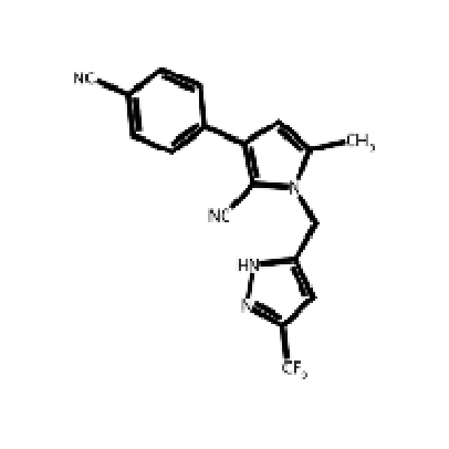 Cc1cc(-c2ccc(C#N)cc2)c(C#N)n1Cc1cc(C(F)(F)F)n[nH]1